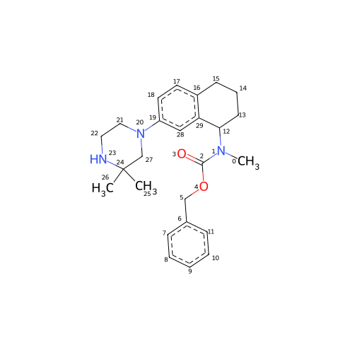 CN(C(=O)OCc1ccccc1)C1CCCc2ccc(N3CCNC(C)(C)C3)cc21